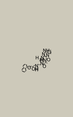 CC(NC(=O)c1nc(Cl)c(N)nc1N)C(=O)NCCNC[C@@H](O)COc1cccc2ccccc12